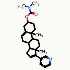 CN(C)C(=O)OC1CCC2(C)C(=CCC3C2CCC2(C)C(c4cccnc4)=CCC32)C1